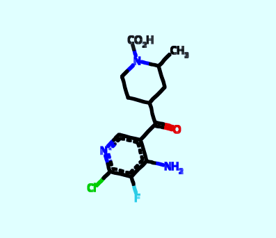 CC1CC(C(=O)c2cnc(Cl)c(F)c2N)CCN1C(=O)O